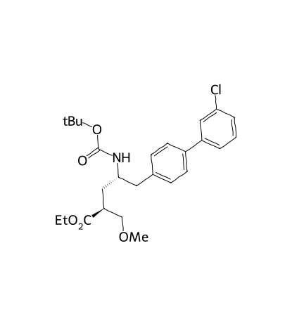 CCOC(=O)[C@H](COC)C[C@@H](Cc1ccc(-c2cccc(Cl)c2)cc1)NC(=O)OC(C)(C)C